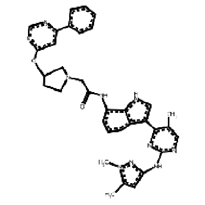 Cc1cnc(Nc2cc(C)n(C)n2)nc1-c1c[nH]c2c(NC(=O)CN3CCC(Oc4cc(-c5ccccc5)ncn4)C3)cccc12